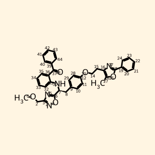 COCc1noc([C@H](Cc2ccc(OCCc3nc(-c4ccccc4)oc3C)cc2)Nc2ccccc2C(=O)c2ccccc2)n1